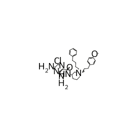 COc1ccc(CCC[N+]2(CCCCc3ccccc3)CCCC(NC(=O)c3nc(Cl)c(N)nc3N)C2)cc1